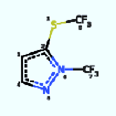 FC(F)(F)Sc1c[c]nn1C(F)(F)F